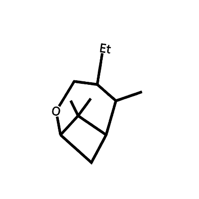 CCC1COC2CC(C1C)C2(C)C